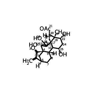 C=C1C(=O)[C@]23C[C@H]1CC[C@H]2[C@@]12CO[C@@]3(O)[C@@H](O)[C@@H]1[C@](C)(COC(C)=O)[C@@H](O)C[C@H]2O